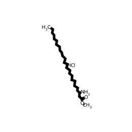 CCCCCCCCCCCCCCCCCCCCCCCC(N)CC(=O)OC.Cl